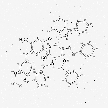 Cc1cc(OCc2ccccc2)c(C2(O)S[C@H](COCc3ccccc3)[C@@H](OCc3ccccc3)[C@H](OCc3ccccc3)[C@H]2OCc2ccccc2)cc1Cc1ccc2c(c1)OCCO2